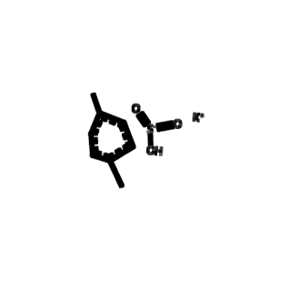 Cc1ccc(C)cc1.O=[S-](=O)O.[K+]